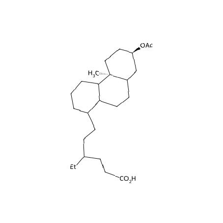 CCC(CCC(=O)O)CCC1CCCC2C1CCC1C[C@H](OC(C)=O)CC[C@@]12C